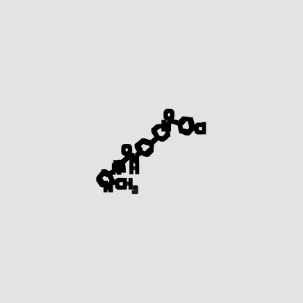 Cc1ncccc1N1CC(C(=O)Nc2ccc(C3CCN(C(=O)c4ccc(Cl)cc4)CC3)cc2)C1